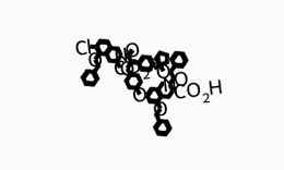 CC1(OC(C(=O)N2Cc3cc(OC4CCC(OC(C(=O)N5Cc6ccc(Cl)c(OCc7ccccc7)c6CC5C(=O)O)c5ccccc5)CC4)cc(OCc4ccccc4)c3CC2C(=O)O)c2ccccc2)CCCC1